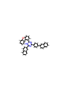 c1ccc2cc(C3=NC(c4ccc(-c5ccc6ccccc6c5)cc4)=NC(c4cccc5oc6ccccc6c45)N3)ccc2c1